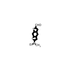 CCN(C)c1cc2cc3cc(C=O)sc3cc2s1